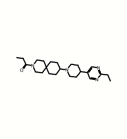 CCC(=O)N1CCC2(CCC(N3CCC(c4cnc(CC)nc4)CC3)CC2)CC1